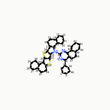 c1ccc(-c2nc(-n3c4c5ccccc5ccc4c4sc5c(sc6ccc7ccccc7c65)c43)nc3c2ccc2ccccc23)cc1